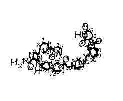 CN1CCN([C@@H]2CCCN(c3cnc(C(N)=O)c(Nc4ccc(C5(C)CCN(C(=O)CN6CCN(CCc7cccc8c7CN(C7CCC(=O)NC7=O)C8=O)CC6)CC5)cc4)n3)C2)C1=O